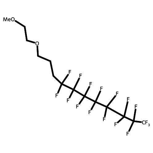 COCCOCCCC(F)(F)C(F)(F)C(F)(F)C(F)(F)C(F)(F)C(F)(F)C(F)(F)C(F)(F)F